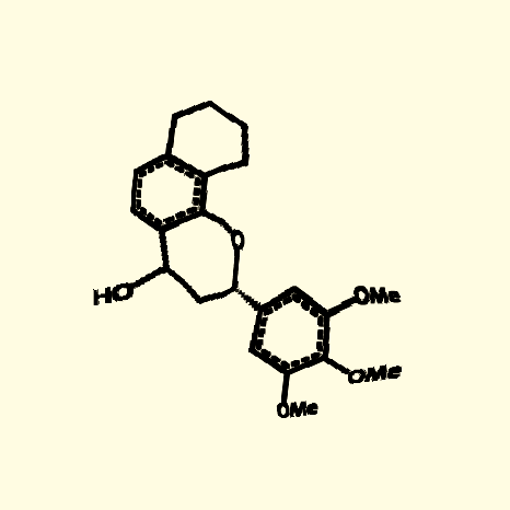 COc1cc([C@@H]2CC(O)c3ccc4c(c3O2)CCCC4)cc(OC)c1OC